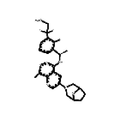 COCC(F)(F)c1cccc([C@@H](C)Nc2nnc(C)c3ncc(N4CC5CCC(C4)O5)cc23)c1F